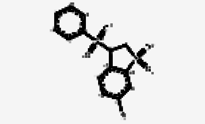 O=S1(=O)CC(S(=O)(=O)c2ccccc2)c2ccc(Br)cc21